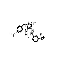 C[n+]1ccc(Cn2ncc(N=Nc3cccc(C(F)(F)F)c3)c2N)cc1.[Cl-]